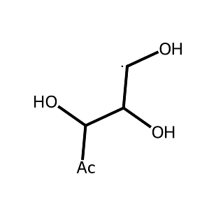 CC(=O)C(O)C(O)[CH]O